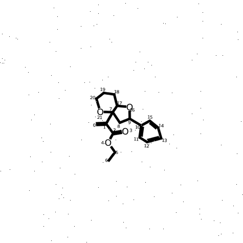 C=C(C(=O)OCC)C12CC(c3ccccc3)OC1CCCO2